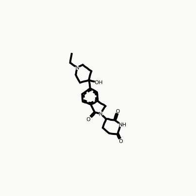 CCN1CCC(O)(c2ccc3c(c2)CN(C2CCC(=O)NC2=O)C3=O)CC1